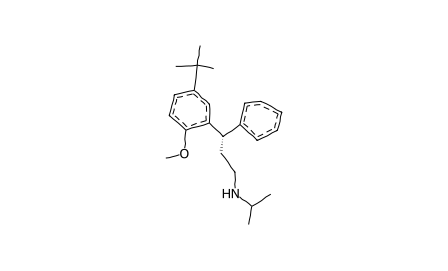 COc1ccc(C(C)(C)C)cc1[C@@H](CCNC(C)C)c1ccccc1